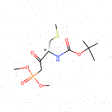 COP(=O)(CC(=O)[C@H](CSC)NC(=O)OC(C)(C)C)OC